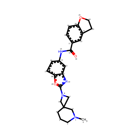 CN1CCCC2(C1)CN(c1nc3cc(NC(=O)c4ccc5c(c4)CCO5)ccc3o1)C2